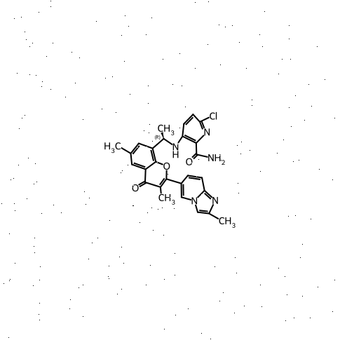 Cc1cc([C@@H](C)Nc2ccc(Cl)nc2C(N)=O)c2oc(-c3ccc4nc(C)cn4c3)c(C)c(=O)c2c1